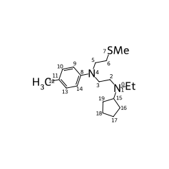 CCN(CCN(CCSC)c1ccc(C)cc1)C1CCCC1